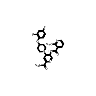 CNC(=O)c1cc(N2CCC(Oc3ccc(F)cc3F)CC2)c(NC(=O)c2cccnc2OC)cn1